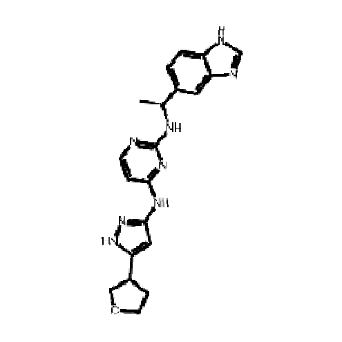 C[C@H](Nc1nccc(Nc2cc(C3CCOC3)[nH]n2)n1)c1ccc2[nH]cnc2c1